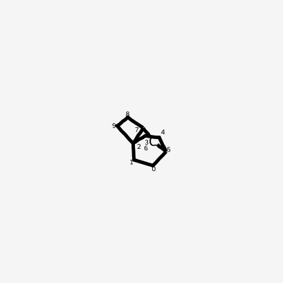 C1CC23CCC1CC2CC3